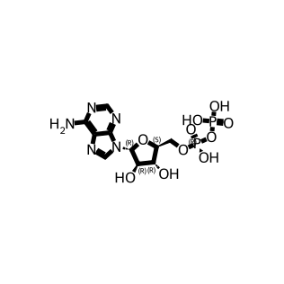 Nc1ncnc2c1ncn2[C@@H]1O[C@@H](CO[P@@](=O)(O)OP(=O)(O)O)[C@H](O)[C@H]1O